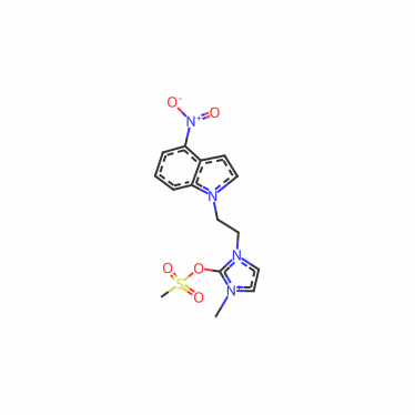 C[n+]1ccn(CCn2ccc3c([N+](=O)[O-])cccc32)c1OS(C)(=O)=O